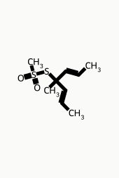 CC=CC(C)(C=CC)SS(C)(=O)=O